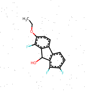 CCOc1ccc2c(c1F)C(O)c1c-2ccc(F)c1F